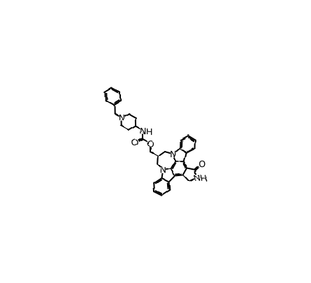 O=C(NC1CCN(Cc2ccccc2)CC1)OCC1Cn2c3ccccc3c3c4c(c5c6ccccc6n(c5c32)C1)C(=O)NC4